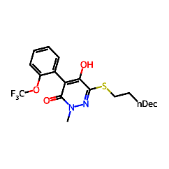 CCCCCCCCCCCCSc1nn(C)c(=O)c(-c2ccccc2OC(F)(F)F)c1O